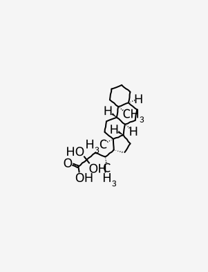 C[C@H](CC(O)(O)C(=O)O)[C@H]1CC[C@H]2[C@@H]3CC[C@@H]4CCCC[C@]4(C)[C@H]3CC[C@]12C